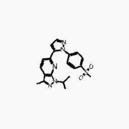 Cc1nn(C(C)C)c2nc(-c3ccnn3-c3ccc(S(C)(=O)=O)cc3)ccc12